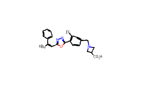 CCCC/C(=C/c1nnc(-c2ccc(CN3CC(C(=O)O)C3)cc2CC)o1)c1ccccc1